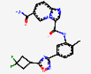 Cc1ccc(-c2noc(C3CC(F)(F)C3)n2)cc1NC(=O)c1cnc2ccc(C(N)=O)cn12